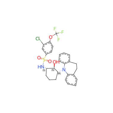 O=S(=O)(N[C@H]1CCC[C@@H](N2c3ccccc3CCc3ccccc32)[C@@H]1O)c1ccc(OC(F)(F)F)c(Cl)c1